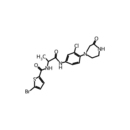 CC(NC(=O)c1ccc(Br)s1)C(=O)Nc1ccc(N2CCNC(=O)C2)c(Cl)c1